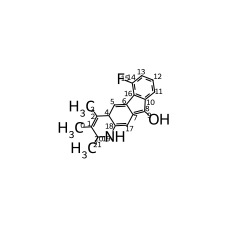 CC1=C(C)C2C=C3C(=C(O)c4cccc(F)c43)C=C2NC1C